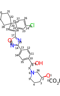 O=C(O)O[C@H]1CCCN(CC(O)c2ccc(-c3noc(/C=C/C4(c5ccc(Cl)cc5)CCCCC4)n3)cc2)C1